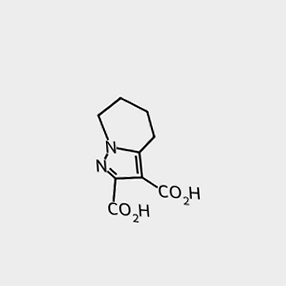 O=C(O)c1nn2c(c1C(=O)O)CCCC2